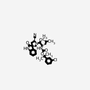 CC(C)C[C@H](NC(=O)OC(C)(C)c1cccc(Cl)c1)C(=O)N1C[C@]2(C[C@H]1C#N)C(=O)Nc1ccccc12